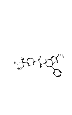 Cc1cc2nc(NC(=O)c3ccc([C@](C)(O)CO)nc3)cc(-c3ccccc3)n2n1